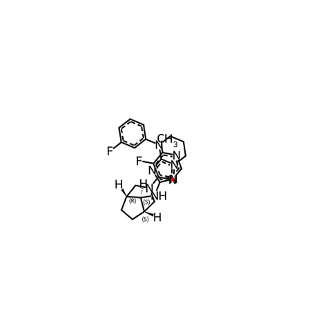 Cc1ncnc(N2C[C@H]3CC[C@@H](C2)[C@@H]3Nc2nc3n(n2)CCCN3c2cccc(F)c2)c1F